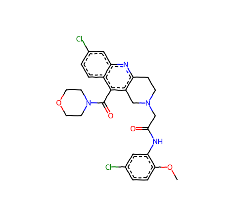 COc1ccc(Cl)cc1NC(=O)CN1CCc2nc3cc(Cl)ccc3c(C(=O)N3CCOCC3)c2C1